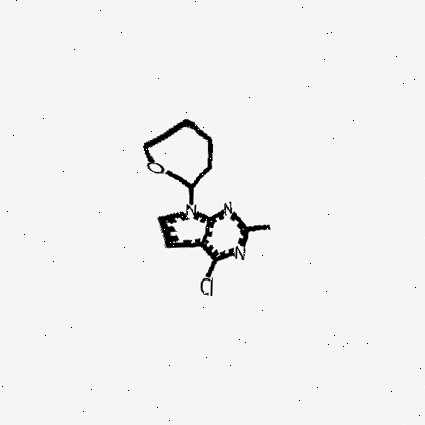 Cc1nc(Cl)c2ccn(C3CCCCO3)c2n1